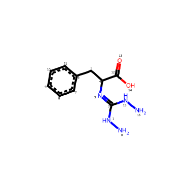 NNC(=NC(Cc1ccccc1)C(=O)O)NN